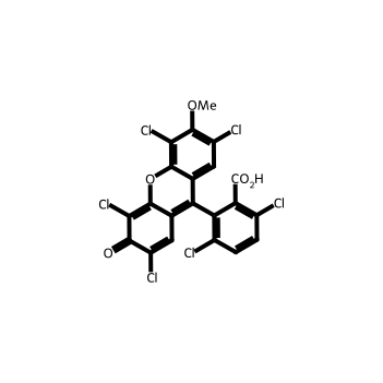 COc1c(Cl)cc2c(-c3c(Cl)ccc(Cl)c3C(=O)O)c3cc(Cl)c(=O)c(Cl)c-3oc2c1Cl